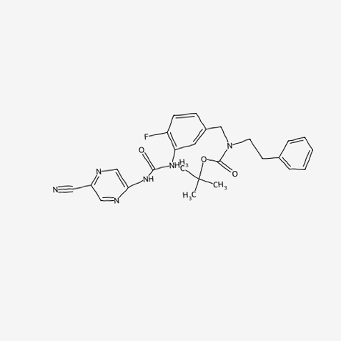 CC(C)(C)OC(=O)N(CCc1ccccc1)Cc1ccc(F)c(NC(=O)Nc2cnc(C#N)cn2)c1